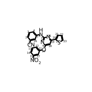 N#Cc1cccc(Nc2nc(Oc3cccc([N+](=O)[O-])c3)cc(-c3cccs3)n2)c1